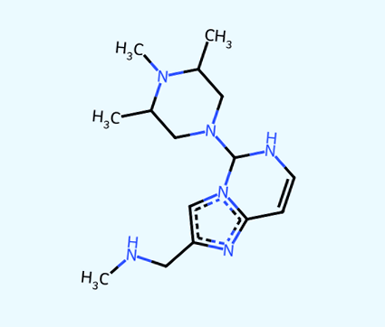 CNCc1cn2c(n1)C=CNC2N1CC(C)N(C)C(C)C1